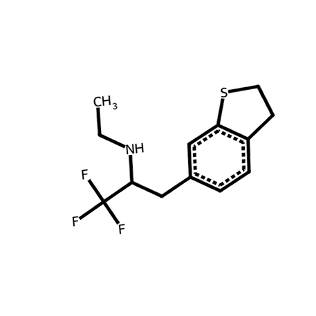 CCNC(Cc1ccc2c(c1)SCC2)C(F)(F)F